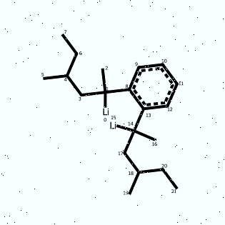 [Li][C](C)(CC(C)CC)c1ccccc1[C]([Li])(C)CC(C)CC